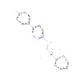 CC(C)(CNc1ccc(-c2ccc(Cl)cc2)nn1)c1ccc(F)cc1